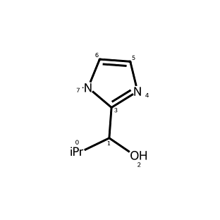 CC(C)C(O)C1=NC=C[N]1